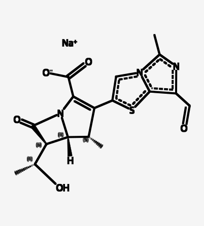 Cc1nc(C=O)c2sc(C3=C(C(=O)[O-])N4C(=O)[C@H]([C@@H](C)O)[C@H]4[C@H]3C)cn12.[Na+]